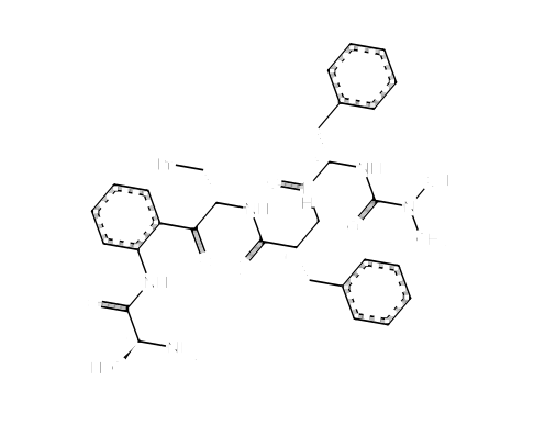 CC(C)C[C@H](NC(=O)[C@@H](Cc1ccccc1)C[PH](=O)[C@H](Cc1ccccc1)NC(=O)N(C)C)C(=O)c1ccccc1NC(=O)[C@H](C)N